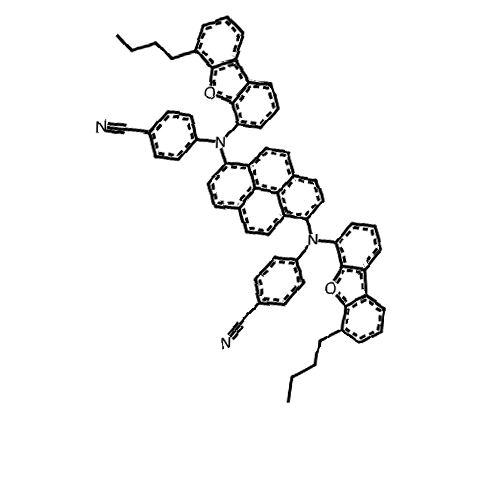 CCCCc1cccc2c1oc1c(N(c3ccc(C#N)cc3)c3ccc4ccc5c(N(c6ccc(C#N)cc6)c6cccc7c6oc6c(CCCC)cccc67)ccc6ccc3c4c65)cccc12